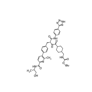 Cc1nc(C(=O)NC(C)CO)ccc1-c1ccc(C[C@H](NC(=O)C2CCC(CNC(=O)OC(C)(C)C)CC2)C(=O)Nc2ccc(-c3nn[nH]n3)cc2)cc1